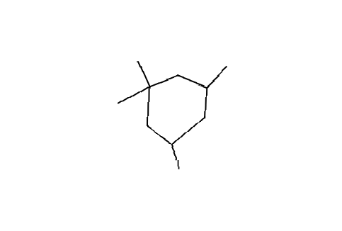 CC1CC(I)CC(C)(C)C1